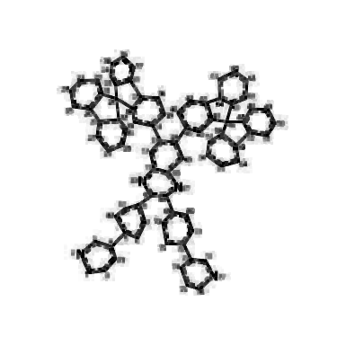 c1cncc(-c2ccc(-c3nc4cc(-c5ccc6c(c5)C5(c7ccccc7-c7ccccc75)c5ccccc5-6)c(-c5ccc6c(c5)C5(c7ccccc7-c7ccccc75)c5ccccc5-6)cc4nc3-c3ccc(-c4cccnc4)cc3)cc2)c1